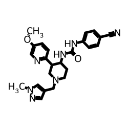 COc1ccc(C2CN(Cc3cnn(C)c3)CCC2NC(=O)Nc2ccc(C#N)cc2)nc1